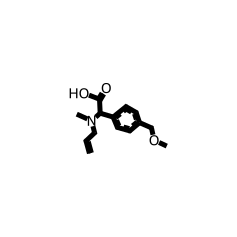 C=CCN(C)C(C(=O)O)c1ccc(COC)cc1